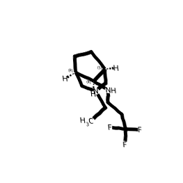 CCN1C[C@H]2CC[C@@H](C1)[C@H]2NCCC(F)(F)F